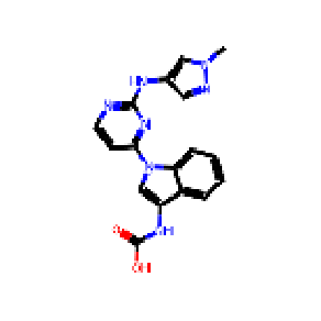 Cn1cc(Nc2nccc(-n3cc(NC(=O)O)c4ccccc43)n2)cn1